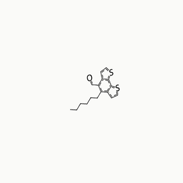 CCCCCCc1c(C=O)c2ccsc2c2sccc12